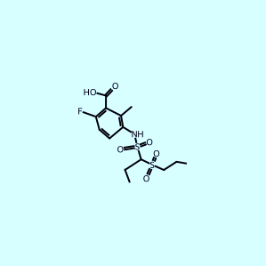 CCCS(=O)(=O)C(CC)S(=O)(=O)Nc1ccc(F)c(C(=O)O)c1C